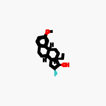 CC[C@]12CC[C@@H]3c4cc(OC)[c]cc4CC[C@H]3[C@@H]1C[C@@H](F)[C@@H]2O